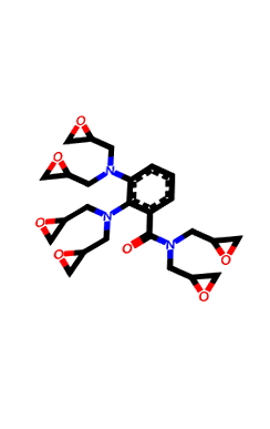 O=C(c1cccc(N(CC2CO2)CC2CO2)c1N(CC1CO1)CC1CO1)N(CC1CO1)CC1CO1